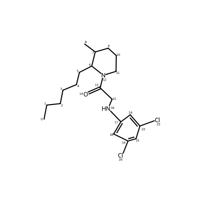 CCCCCCC1C(C)CCCN1C(=O)CNc1cc(Cl)cc(Cl)c1